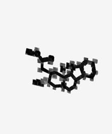 CCCC[C@H]1CN2CCC3c4ccccc4NC3[C@@H]2C[C@@H]1CC(=O)OC